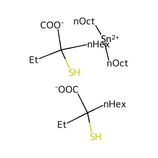 CCCCCCC(S)(CC)C(=O)[O-].CCCCCCC(S)(CC)C(=O)[O-].CCCCCCC[CH2][Sn+2][CH2]CCCCCCC